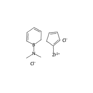 CN(C)B1C=CC=CC1.[Cl-].[Cl-].[Zr+2][C]1=CC=CC1